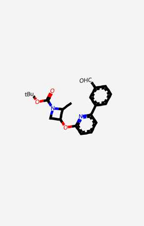 CC1C(Oc2cccc(-c3cccc(C=O)c3)n2)CN1C(=O)OC(C)(C)C